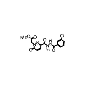 COC(=O)Cn1nc(C(=O)NNC(=O)c2cccc(Cl)c2)ccc1=O